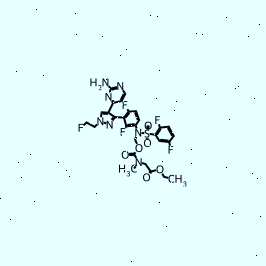 CCOC(=O)CN(C)C(=O)OCN(c1ccc(F)c(-c2nn(CCF)cc2-c2ccnc(N)n2)c1F)S(=O)(=O)c1cc(F)ccc1F